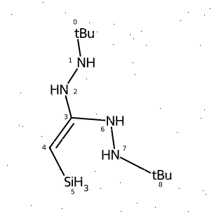 CC(C)(C)NNC(=C[SiH3])NNC(C)(C)C